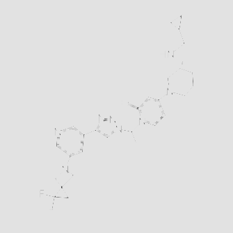 CC(n1cc(-c2cncc(N3CC4(C3)CC4(F)F)c2)nn1)n1ccc(N2CCC[C@@H](NCC3CC3)C2)cc1=O